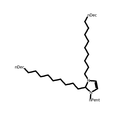 CCCCCCCCCCCCCCCCCCCC1N(CCCCC)C=CN1CCCCCCCCCCCCCCCCCCC